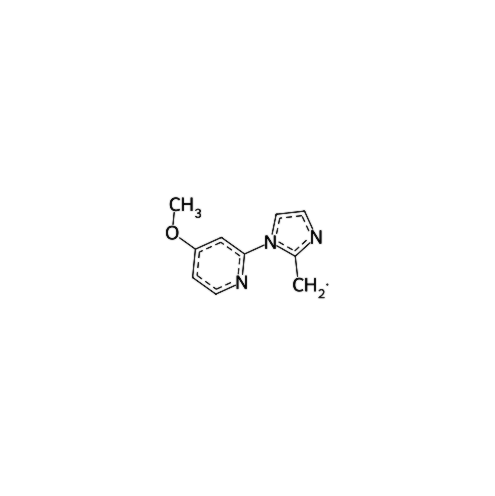 [CH2]c1nccn1-c1cc(OC)ccn1